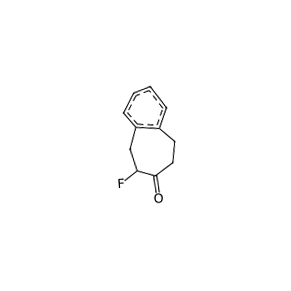 O=C1CCc2ccccc2CC1F